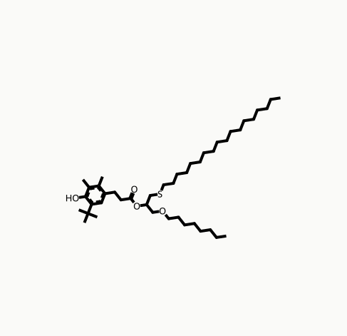 CCCCCCCCCCCCCCCCCCSCC(COCCCCCCCC)OC(=O)CCc1cc(C(C)(C)C)c(O)c(C)c1C